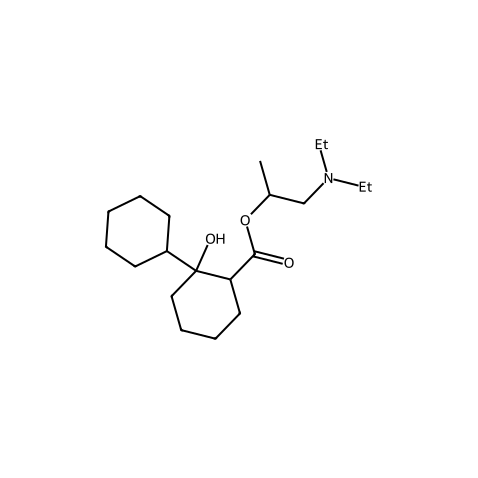 CCN(CC)CC(C)OC(=O)C1CCCCC1(O)C1CCCCC1